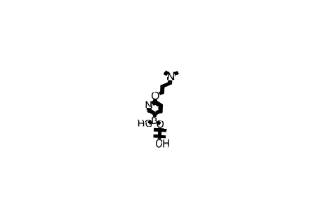 CN(C)CCCOc1ccc(B(O)OC(C)(C)C(C)(C)O)cn1